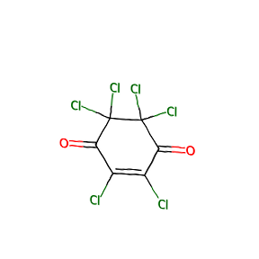 O=C1C(Cl)=C(Cl)C(=O)C(Cl)(Cl)C1(Cl)Cl